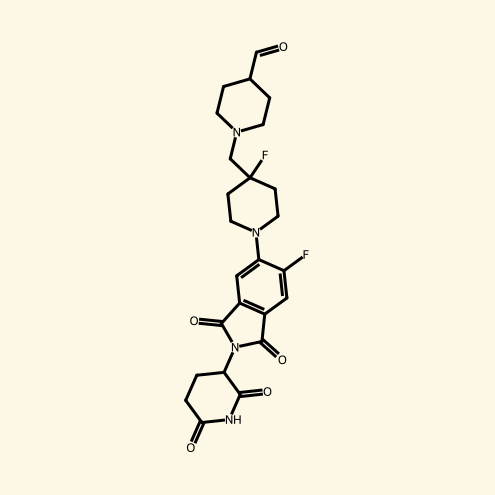 O=CC1CCN(CC2(F)CCN(c3cc4c(cc3F)C(=O)N(C3CCC(=O)NC3=O)C4=O)CC2)CC1